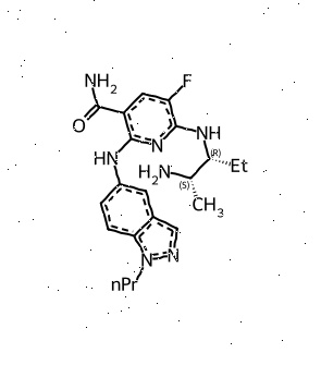 CCCn1ncc2cc(Nc3nc(N[C@H](CC)[C@H](C)N)c(F)cc3C(N)=O)ccc21